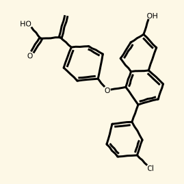 C=C(C(=O)O)c1ccc(Oc2c(-c3cccc(Cl)c3)ccc3cc(O)ccc23)cc1